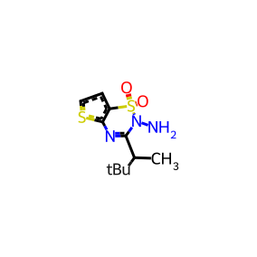 CC(C1=Nc2sccc2S(=O)(=O)N1N)C(C)(C)C